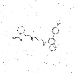 COc1ccc(-c2cc(NCCCNCC[C@@H]3CCCCN3C(=O)O)c3ccccc3n2)cc1